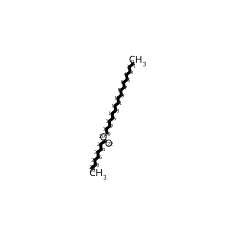 CCCCCCCCCCCCCCCCCCCCOC(=O)CCCCCCCC